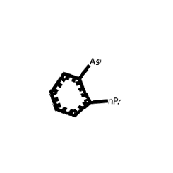 CCCc1ccccc1[As]